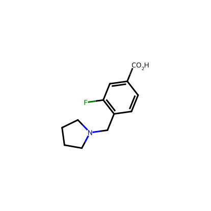 O=C(O)c1ccc(CN2CCCC2)c(F)c1